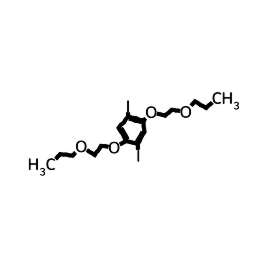 CCCOCCOc1cc(I)c(OCCOCCC)cc1I